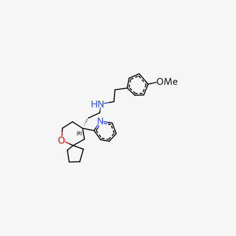 COc1ccc(CCNCC[C@@]2(c3ccccn3)CCOC3(CCCC3)C2)cc1